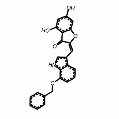 O=C1C(=Cc2c[nH]c3c(OCc4ccccc4)cccc23)Oc2cc(O)cc(O)c21